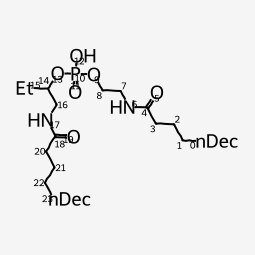 CCCCCCCCCCCCCC(=O)NCCOP(=O)(O)OC(CC)CNC(=O)CCCCCCCCCCCCC